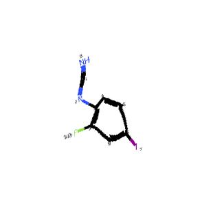 N=C=Nc1ccc(I)cc1F